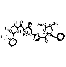 COC(=O)[C@@H](C)C[C@H](Cc1ccccc1)NC(=O)c1csc([C@H](O)C[C@H](C(C)C)N(C)C(=O)[C@@H](NC(=O)[C@H]2CCCCN2C)C(C(F)(F)F)C(F)(F)F)n1